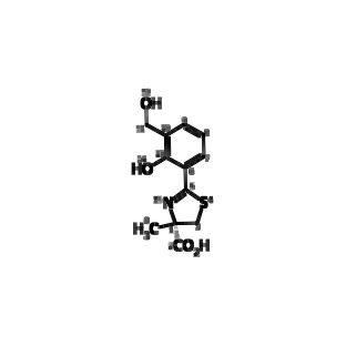 C[C@]1(C(=O)O)CSC(c2cccc(CO)c2O)=N1